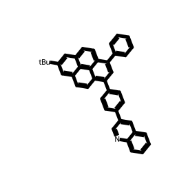 CC(C)(C)c1cc2ccc3c(-c4ccccc4)cc(-c4ccc(-c5cnc6ccccc6c5)cc4)c4ccc(c1)c2c34